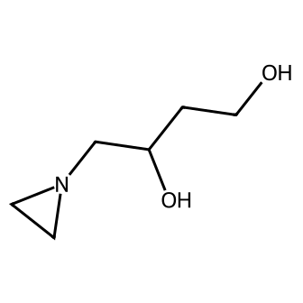 OCCC(O)CN1CC1